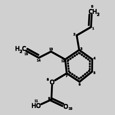 C=CCc1cccc(OC(=O)O)c1CC=C